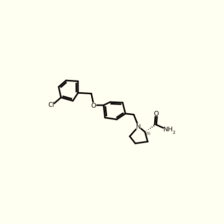 NC(=O)[C@@H]1CCCN1Cc1ccc(OCc2cccc(Cl)c2)cc1